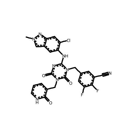 Cn1cc2cc(Nc3nc(=O)n(Cc4ccc[nH]c4=O)c(=O)n3Cc3cc(F)c(F)c(C#N)c3)c(Cl)cc2n1